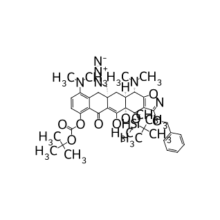 CN(C)c1ccc(OC(=O)OC(C)(C)C)c2c1C[C@@]1(CN=[N+]=[N-])C[C@H]3[C@H](N(C)C)c4onc(OCc5ccccc5)c4C(=O)[C@@]3(O[Si](C)(C)C(C)(C)C)C(O)=C1C2=O